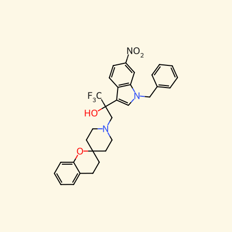 O=[N+]([O-])c1ccc2c(C(O)(CN3CCC4(CCc5ccccc5O4)CC3)C(F)(F)F)cn(Cc3ccccc3)c2c1